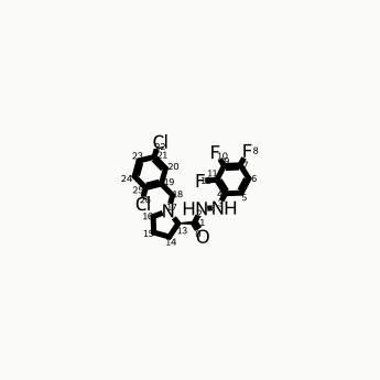 O=C(NNc1ccc(F)c(F)c1F)[C@H]1CCCN1Cc1cc(Cl)ccc1Cl